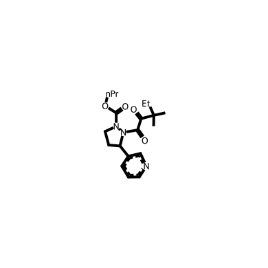 CCCOC(=O)N1CCC(c2cccnc2)N1C(=O)C(=O)C(C)(C)CC